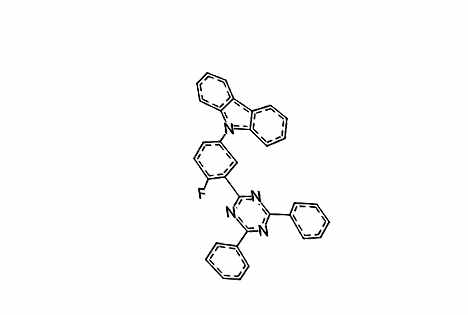 Fc1ccc(-n2c3ccccc3c3ccccc32)cc1-c1nc(-c2ccccc2)nc(-c2ccccc2)n1